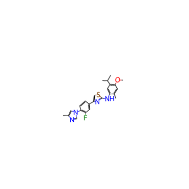 COc1cc(C)c(Nc2nc(-c3ccc(-n4cnc(C)c4)c(F)c3)cs2)cc1C(C)C